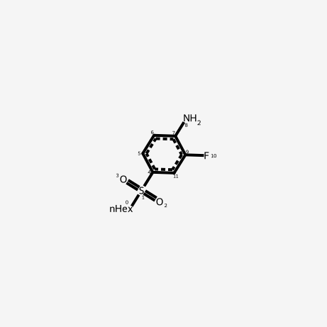 CCCCCCS(=O)(=O)c1ccc(N)c(F)c1